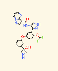 O=C(Nc1c[nH]nc1-c1cc(Oc2cccc(C3(O)CNC3)c2)ccc1OC(F)F)c1cnn2cccnc12